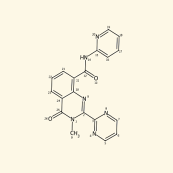 Cn1c(-c2ncccn2)nc2c(C(=O)Nc3ccccn3)cccc2c1=O